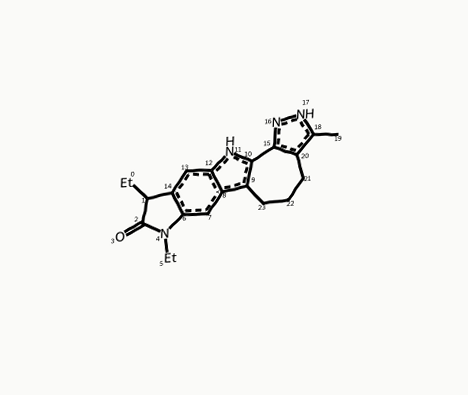 CCC1C(=O)N(CC)c2cc3c4c([nH]c3cc21)-c1n[nH]c(C)c1CCC4